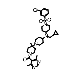 Cc1ncnc(C)c1C(=O)N1CCC(C)(N2CCC(N(CC3CC3)C3CCN(S(=O)(=O)c4cccc(Cl)c4)CC3)CC2)CC1